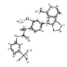 COc1cc(-n2c3c(c4ncnc(N)c42)CCC3)ccc1NC(=O)Cc1ccnc(C(F)(F)F)c1